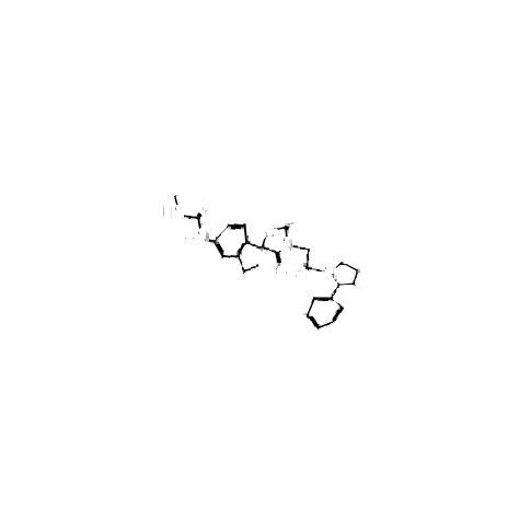 CNC(=O)Nc1ccc2c(c1)CC[C@@]21OC(=O)N(CC(=O)N2CCCC2c2ccccc2)C1=O